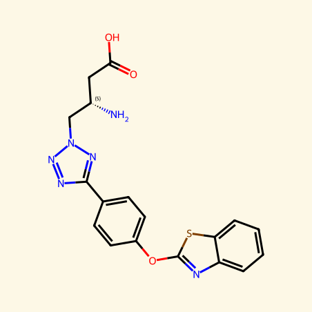 N[C@@H](CC(=O)O)Cn1nnc(-c2ccc(Oc3nc4ccccc4s3)cc2)n1